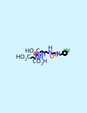 O=C(O)CCC(NC(=O)NC(CCCCNC(=O)CON=Cc1ccc([18F])cc1)C(=O)O)C(=O)O